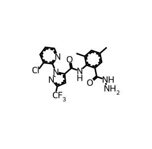 Cc1cc(C)c(NC(=O)c2cc(C(F)(F)F)nn2-c2ncccc2Cl)c(C(=O)NN)c1